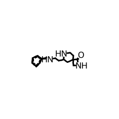 O=C1NCC12CCNC(CCNCc1ccccc1)C2